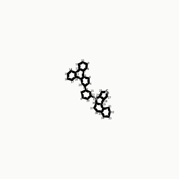 c1cc(-c2ccc3c4ccccc4c4ccccc4c3c2)cc(-n2c3cscc3c3c4ccccc4ccc32)c1